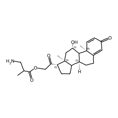 CC(CN)C(=O)OCC(=O)[C@H]1CCC2[C@@H]3CCC4=CC(=O)C=C[C@]4(C)C3[C@@H](O)C[C@@]21C